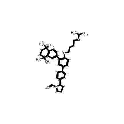 CC(C)NCCCCOc1ccc(-c2ccc(C3CCCN3C=O)cc2)cc1-c1ccc2c(c1)C(C)(C)CCC2(C)C